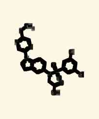 CSc1cnc(-n2ccc3cc(N(CC(=O)O)S(=O)(=O)c4cc(Cl)cc(Cl)c4)ccc32)cn1